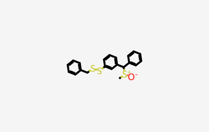 C[S+]([O-])C(c1ccccc1)c1cccc(SSCc2ccccc2)c1